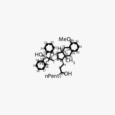 CCCCC[C@H](O)CC[C@H]1[C@H](CC(C)(C)[Si](O)(c2ccccc2)c2ccccc2)C[C@@H]2Cc3c(cccc3OC)C[C@@]21C